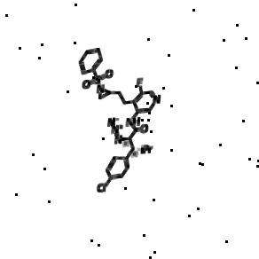 CC(C)[C@H](c1ccc(Cl)cc1)[C@@H](N=[N+]=[N-])C(=O)Nc1cncc(F)c1CCC1CN1S(=O)(=O)c1ccccc1